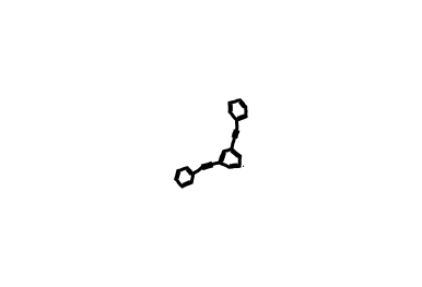 C(#Cc1c[c]cc(C#Cc2ccccc2)c1)c1ccccc1